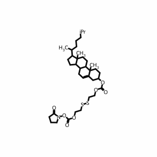 CC(C)CCCC(C)C1CCC2C3CC=C4CC(OC(=O)OCCSSCCOC(=O)ON5CCCC5=O)CCC4(C)C3CCC12C